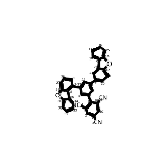 N#Cc1cc(C#N)c(-c2cc(-c3ccc4oc5ccccc5c4c3)cc(-c3cccc4oc5ccccc5c34)c2)c(C#N)c1